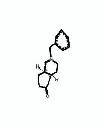 O=C1CC[C@H]2CN(Cc3ccccc3)CC[C@H]2C1